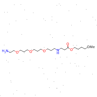 COCCCCOC(=O)CCNCCCOCCCOCCCOCCN